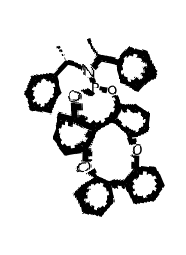 C[C@@H](c1ccccc1)N([C@@H](C)c1ccccc1)p1oc2cccc3oc4ccccc4c4ccccc4oc4cccc(o1)c4c32